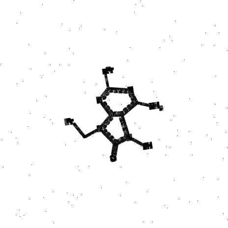 CCCc1nc(N)c2c(n1)n(CC(C)C)c(=O)n2S